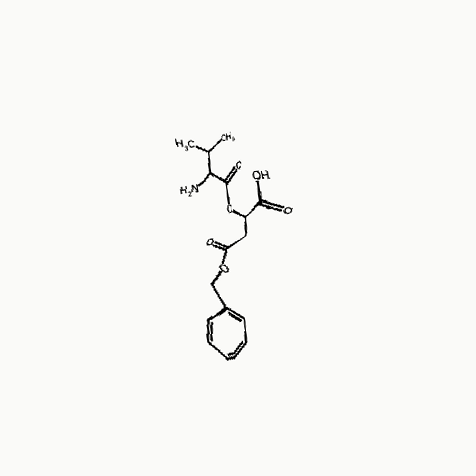 CC(C)C(N)C(=O)OC(CC(=O)OCc1ccccc1)C(=O)O